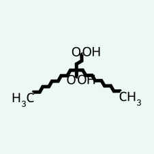 CCCCCCCCCCC(CCCCCCCCCC)(CCC(=O)O)C(=O)O